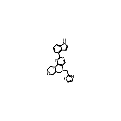 c1cc(-c2ncc3c(n2)N2CCOCC2CN3Cc2ncco2)c2cc[nH]c2c1